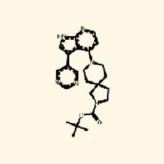 CC(C)(C)OC(=O)N1CCC2(CCN(c3ccnc4[nH]cc(-c5cncnc5)c34)CC2)C1